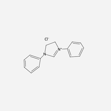 C1=[N+](c2ccccc2)CCN1c1ccccc1.[Cl-]